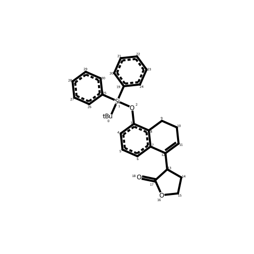 CC(C)(C)[Si](Oc1cccc2c1CCC=C2C1CCOC1=O)(c1ccccc1)c1ccccc1